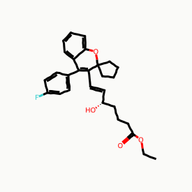 CCOC(=O)CCC[C@H](O)/C=C/C1=C(c2ccc(F)cc2)c2ccccc2OC12CCCC2